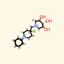 C[C@@H]1[C@@H](O)[C@H](O)[C@@H](O)CN1CC1(F)CCN(c2ccccc2)CC1